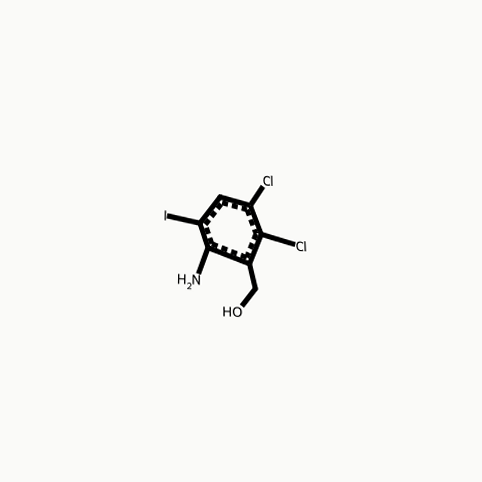 Nc1c(I)cc(Cl)c(Cl)c1CO